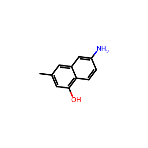 Cc1cc(O)c2ccc(N)cc2c1